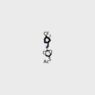 CC(=O)S[C@H]1CO[C@H](/C=C/c2ccc(C(F)(F)F)cc2)OC1